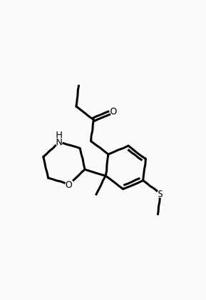 CCC(=O)CC1C=CC(SC)=CC1(C)C1CNCCO1